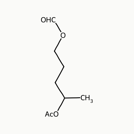 CC(=O)OC(C)CCCOC=O